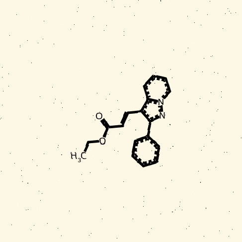 CCOC(=O)/C=C/c1c(-c2ccccc2)nn2ccccc12